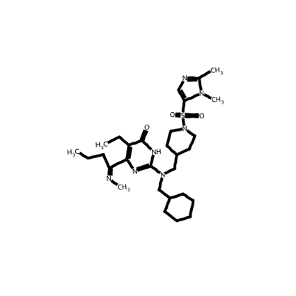 CCC/C(=N/C)c1nc(N(CC2CCCCC2)CC2CCN(S(=O)(=O)c3cnc(C)n3C)CC2)[nH]c(=O)c1CC